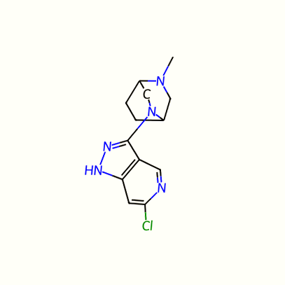 CN1CC2CCC1CN2c1n[nH]c2cc(Cl)ncc12